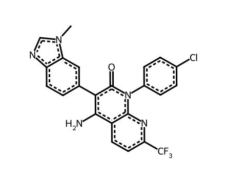 Cn1cnc2ccc(-c3c(N)c4ccc(C(F)(F)F)nc4n(-c4ccc(Cl)cc4)c3=O)cc21